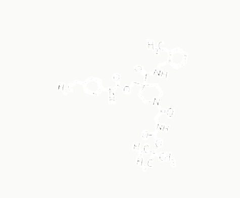 CCc1ccc(NC(=O)OCC2(C(=O)NCc3ccccc3C)CCN(C(=O)CNC(=O)OC(C)(C)C)CC2)cc1